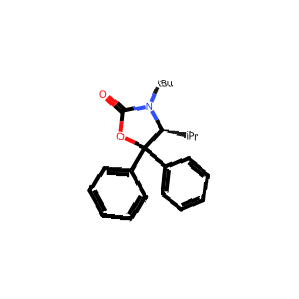 CC(C)[C@@H]1N(C(C)(C)C)C(=O)OC1(c1ccccc1)c1ccccc1